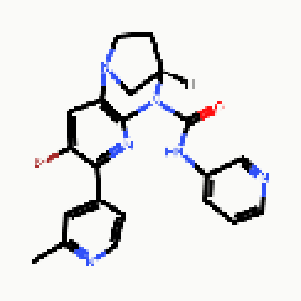 Cc1cc(-c2nc3c(cc2Br)N2CC[C@@H](C2)N3C(=O)Nc2cccnc2)ccn1